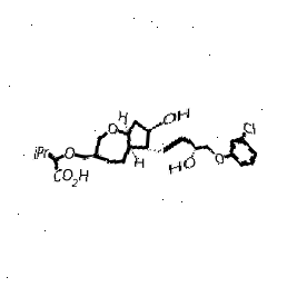 CC(C)C(OC[C@@H]1CC[C@@H]2[C@@H](/C=C/[C@@H](O)COc3cccc(Cl)c3)[C@H](O)C[C@@H]2OC1)C(=O)O